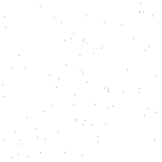 COc1ccc(N)c(N2CCN(C3CCCCC3)CC2)c1